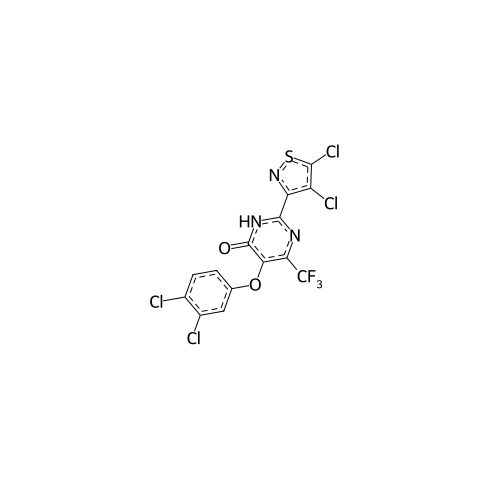 O=c1[nH]c(-c2nsc(Cl)c2Cl)nc(C(F)(F)F)c1Oc1ccc(Cl)c(Cl)c1